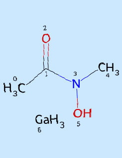 CC(=O)N(C)O.[GaH3]